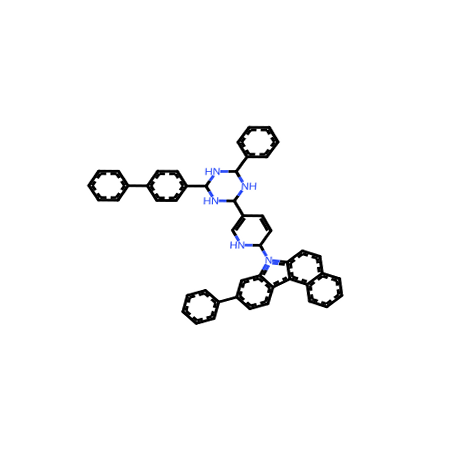 C1=CC(n2c3cc(-c4ccccc4)ccc3c3c4ccccc4ccc32)NC=C1C1NC(c2ccccc2)NC(c2ccc(-c3ccccc3)cc2)N1